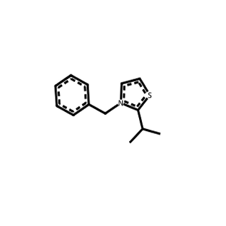 CC(C)c1scc[n+]1Cc1ccccc1